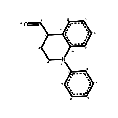 O=CC1CCN(c2ccccc2)c2ccccc21